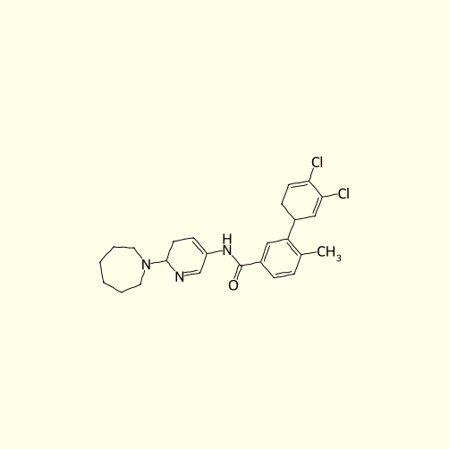 Cc1ccc(C(=O)NC2=CCC(N3CCCCCC3)N=C2)cc1C1C=C(Cl)C(Cl)=CC1